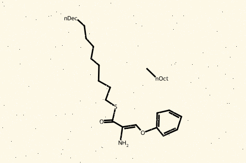 CCCCCCCCC.CCCCCCCCCCCCCCCCCCSC(=O)C(N)=COc1ccccc1